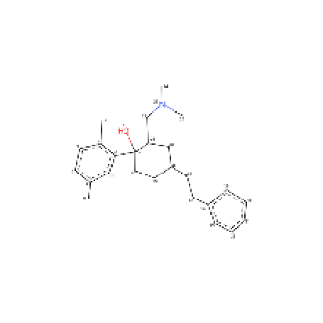 Cc1ccc(C)c(C2(O)CCC(CCc3ccccc3)CC2CN(C)C)c1